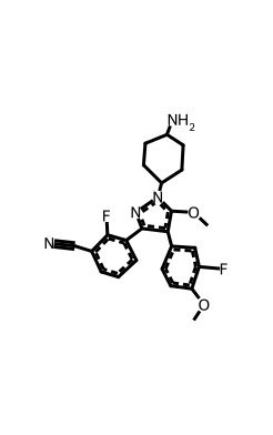 COc1ccc(-c2c(-c3cccc(C#N)c3F)nn(C3CCC(N)CC3)c2OC)cc1F